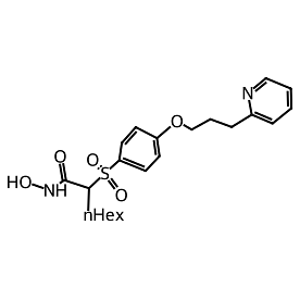 CCCCCCC(C(=O)NO)S(=O)(=O)c1ccc(OCCCc2ccccn2)cc1